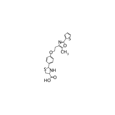 Cc1oc(-c2cccs2)nc1CCOc1ccc(C2NC(C(=O)O)CS2)cc1